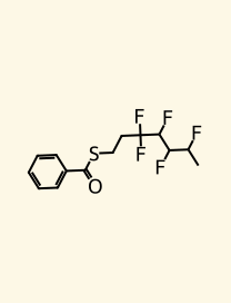 CC(F)C(F)C(F)C(F)(F)CCSC(=O)c1ccccc1